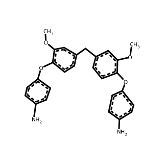 COc1cc(Cc2ccc(Oc3ccc(N)cc3)c(OC)c2)ccc1Oc1ccc(N)cc1